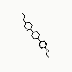 CCCC1CCC(C2CCC(c3ccc(OCF)cc3)CC2)OC1